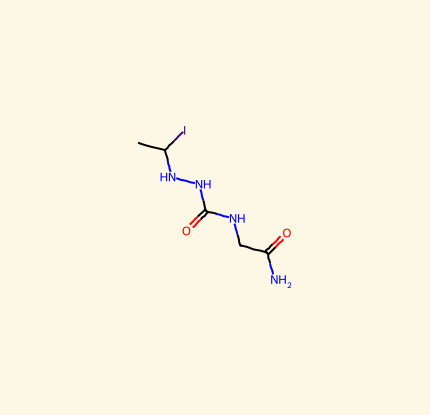 CC(I)NNC(=O)NCC(N)=O